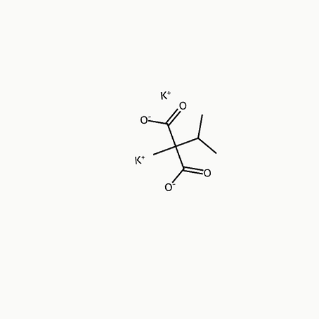 CC(C)C(C)(C(=O)[O-])C(=O)[O-].[K+].[K+]